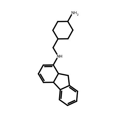 NC1CCC(CNC2=CC=CC3c4ccccc4CC23)CC1